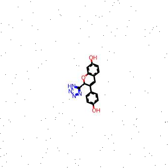 Oc1ccc(C2=Cc3ccc(O)cc3OC2c2nnn[nH]2)cc1